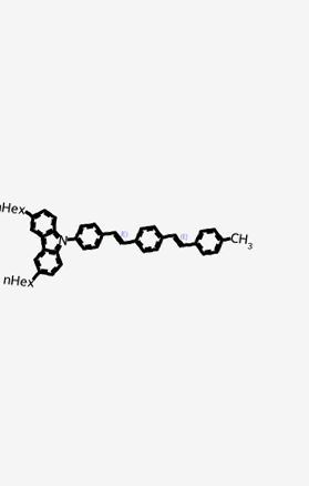 CCCCCCc1ccc2c(c1)c1cc(CCCCCC)ccc1n2-c1ccc(/C=C/c2ccc(/C=C/c3ccc(C)cc3)cc2)cc1